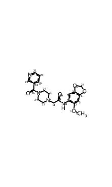 COc1cc2c(cc1NC(=O)CN1CCN(C(=O)c3cccnc3)CC1)OCO2